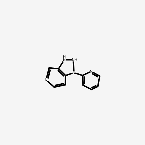 c1ccc(N2NNc3cnccc32)nc1